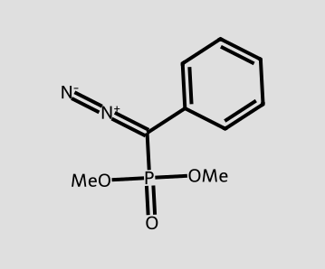 COP(=O)(OC)C(=[N+]=[N-])c1ccccc1